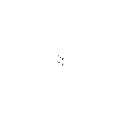 FOF.[Ba]